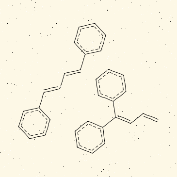 C(C=Cc1ccccc1)=Cc1ccccc1.C=CC=C(c1ccccc1)c1ccccc1